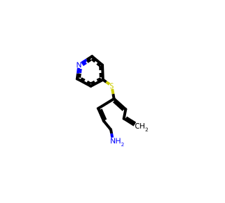 C=C/C=C(\C=C/CN)Sc1ccncc1